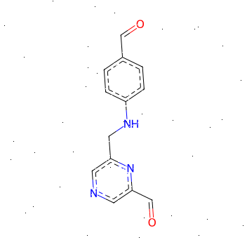 O=Cc1ccc(NCc2cncc(C=O)n2)cc1